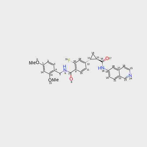 COc1ccc(CNC(=O)c2ccc([C@@H]3C[C@H]3C(=O)Nc3ccc4cnccc4c3)cc2F)c(OC)c1